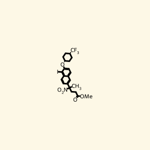 COC(=O)CCC(C)(c1ccc2c(I)c(O[C@H]3CC[C@H](C(F)(F)F)CC3)ccc2c1)[N+](=O)[O-]